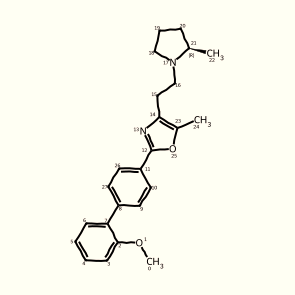 COc1ccccc1-c1ccc(-c2nc(CCN3CCC[C@H]3C)c(C)o2)cc1